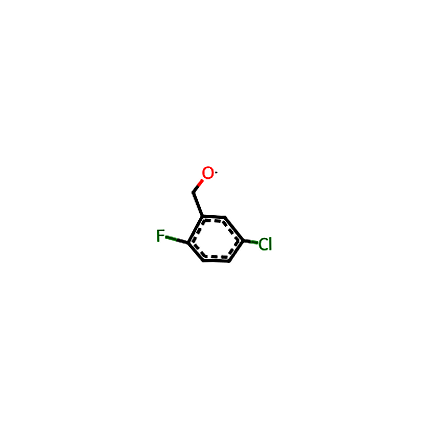 [O]Cc1cc(Cl)ccc1F